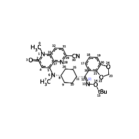 Cn1c(=O)cc(N(C)[C@H]2CC[C@@H](/C(=N/OC(C)(C)C)c3cccc4c3OCO4)CC2)c2nc(C#N)ccc21